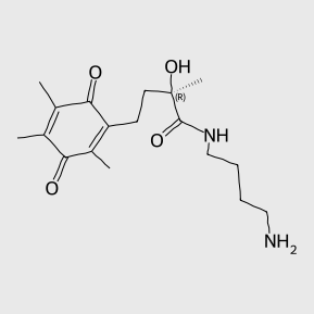 CC1=C(C)C(=O)C(CC[C@@](C)(O)C(=O)NCCCCN)=C(C)C1=O